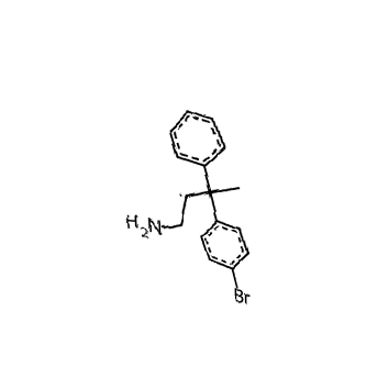 CC([CH]CN)(c1ccccc1)c1ccc(Br)cc1